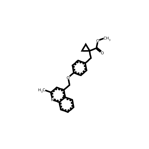 COC(=O)C1(Cc2ccc(OCc3cc(C)nc4ccccc34)cc2)CC1